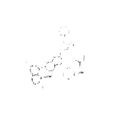 C#Cc1c(F)ccc2cc(O)cc(-c3ncc4c(N5CCC[C@](C)(C#N)[C@@H](NC(=O)C=C)C5)nc(OCC5(CN6CCOCC6)CC5)nc4c3F)c12